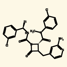 CC[C@@H](NC(=O)N1C(=O)C(Cc2ccnc(N)c2)[C@H]1C(=O)N(C)c1cccc(Cl)c1)c1cccc(Cl)c1